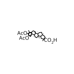 CC(=O)Oc1cc2c(c(C)c1OC(C)=O)CC=C1[C@@]2(C)CC[C@@]2(C)C3C[C@](C)(C(=O)O)CC[C@]3(C)CC[C@]12C